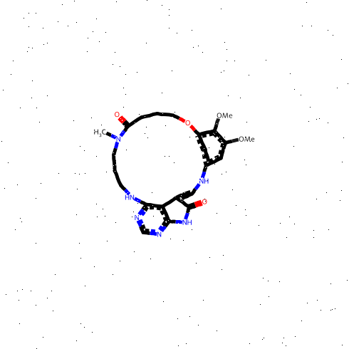 COc1cc2cc(c1OC)OCCCC(=O)N(C)CCCNc1ncnc3c1/C(=C/N2)C(=O)N3